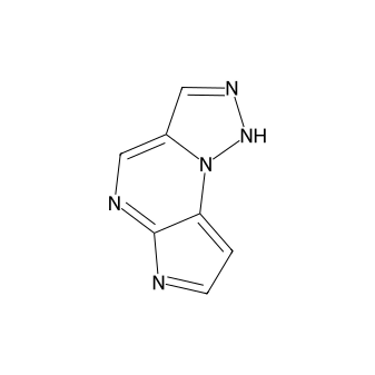 c1cc2n3[nH]ncc3cnc-2n1